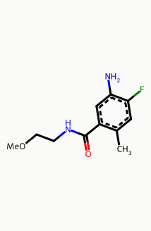 COCCNC(=O)c1cc(N)c(F)cc1C